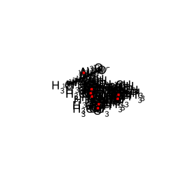 CC(C)(C)c1cc(C(O)c2cc(C(C)(C)C)cc(C(C)(C)C)c2OP(=O)([O-])[O-])c(O)c(C(C)(C)C)c1.CC(C)(C)c1cc(C(O)c2cc(C(C)(C)C)cc(C(C)(C)C)c2OP(=O)([O-])[O-])c(O)c(C(C)(C)C)c1.CC(C)(C)c1cc(C(O)c2cc(C(C)(C)C)cc(C(C)(C)C)c2OP(=O)([O-])[O-])c(O)c(C(C)(C)C)c1.CCCCCCCCCCCCCCCCCC(=O)[O-].[Al+3].[Al+3].[Li+]